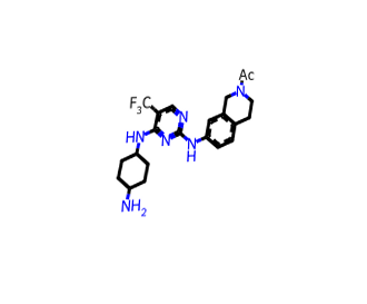 CC(=O)N1CCc2ccc(Nc3ncc(C(F)(F)F)c(NC4CCC(N)CC4)n3)cc2C1